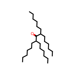 CCCCCCC(CCCCCC)C(=O)C(CCCCCC)CCCCCC